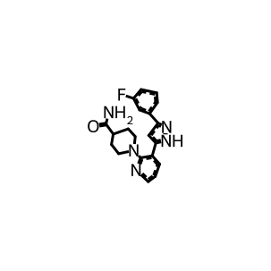 NC(=O)C1CCN(c2ncccc2-c2cc(-c3cccc(F)c3)n[nH]2)CC1